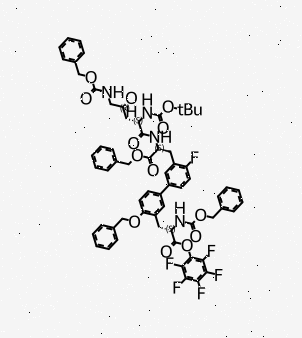 CC(C)(C)OC(=O)N[C@@H](C[C@@H](O)CNC(=O)OCc1ccccc1)C(=O)N[C@@H](Cc1cc(-c2ccc(OCc3ccccc3)c(C[C@H](NC(=O)OCc3ccccc3)C(=O)Oc3c(F)c(F)c(F)c(F)c3F)c2)ccc1F)C(=O)OCc1ccccc1